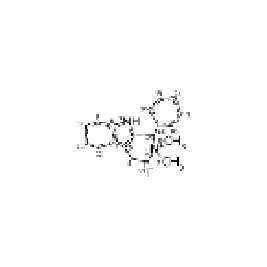 C[N+]1(C)CCc2c([nH]c3ccccc23)C1c1ccccc1.[I-]